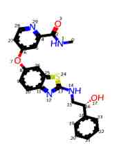 CNC(=O)c1cc(Oc2ccc3nc(NC[C@H](O)c4ccccc4)sc3c2)ccn1